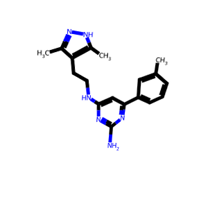 Cc1cccc(-c2cc(NCCc3c(C)n[nH]c3C)nc(N)n2)c1